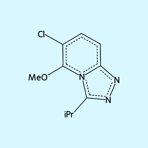 COc1c(Cl)ccc2nnc(C(C)C)n12